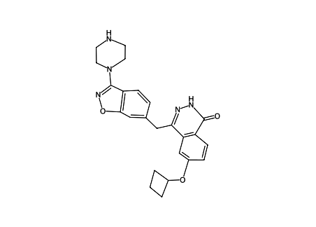 O=c1[nH]nc(Cc2ccc3c(N4CCNCC4)noc3c2)c2cc(OC3CCC3)ccc12